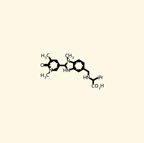 Cc1cc(C2Nc3cc(CNC(C(=O)O)C(C)C)ccc3N2C)cn(C)c1=O